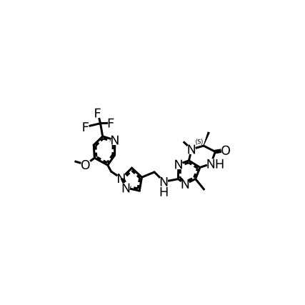 COc1cc(C(F)(F)F)ncc1Cn1cc(CNc2nc(C)c3c(n2)N(C)[C@@H](C)C(=O)N3)cn1